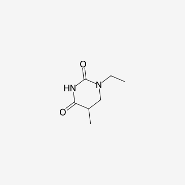 CCN1CC(C)C(=O)NC1=O